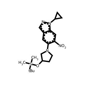 CC(C)(C)[Si](C)(C)OC1CCN(c2cc3cnn(C4CC4)c3cc2[N+](=O)[O-])C1